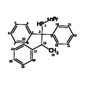 CCCPC(c1ccccc1)(c1ccccc1)C(C)c1ccccc1